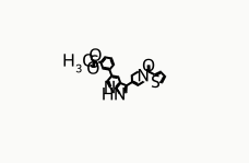 CS(=O)(=O)c1cccc(-c2cnc3[nH]cc(C4=CCN(C(=O)c5cccs5)CC4)c3c2)c1